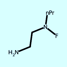 CCCN(F)CCN